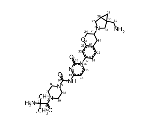 CC(C)(N)C(=O)N1CCN(C(=O)Nc2ccn(-c3ccc4c(c3)OCC(N3CC5CC5(CN)C3)C4)c(=O)n2)CC1